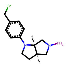 C[C@]12CCN(c3ccc(CBr)cc3)[C@H]1CN(P)C2